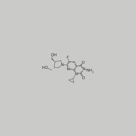 Nn1c(=O)c2cc(F)c(N3C[C@H](CO)[C@@H](CO)C3)nc2n(C2CC2)c1=O